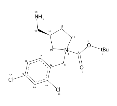 CC(C)(C)OC(=O)[N+]1(Cc2ccc(Cl)cc2Cl)CC[C@H](CN)C1